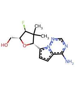 CC1(C)[C@H](F)[C@@H](CO)O[C@H]1c1ccc2c(N)ncnn12